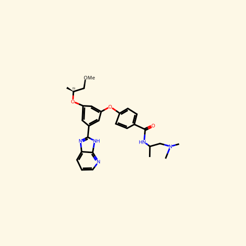 COC[C@H](C)Oc1cc(Oc2ccc(C(=O)NC(C)CN(C)C)cc2)cc(-c2nc3cccnc3[nH]2)c1